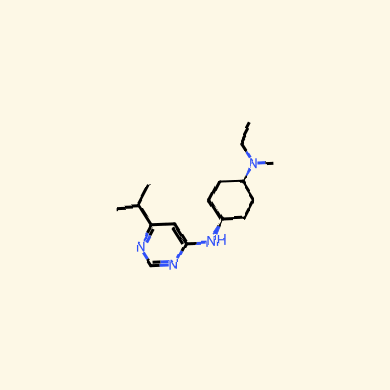 CCN(C)[C@H]1CC[C@@H](Nc2cc(C(C)C)ncn2)CC1